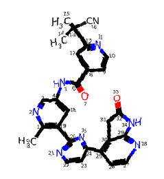 Cc1ncc(NC(=O)c2ccnc(C(C)(C)C#N)c2)cc1-c1nccc(-c2ccnc3c2CC(=O)N3)n1